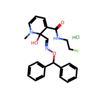 CN1C=CC=C(C(=O)NCCF)C1(O)C=NOC(c1ccccc1)c1ccccc1.Cl